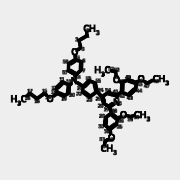 CCCCOc1ccc(N(c2ccc(OCCCC)cc2)c2ccc(-c3cc(-c4ccc(OCC)cc4OCC)nc(-c4ccc(OCC)cc4OCC)c3)cc2)cc1